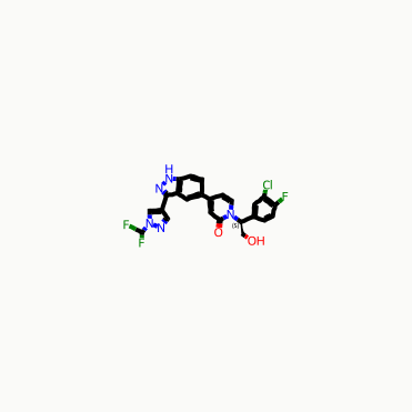 O=c1cc(-c2ccc3[nH]nc(-c4cnn(C(F)F)c4)c3c2)ccn1[C@H](CO)c1ccc(F)c(Cl)c1